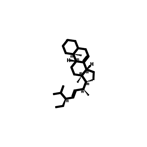 CC[C@H](C=C[C@@H](C)[C@H]1CC[C@H]2C3=CCC4C[CH]CC[C@]4(C)[C@H]3CC[C@]12C)C(C)C